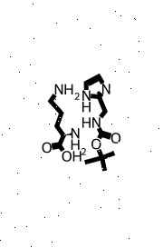 CC(C)(C)OC(=O)NCc1ncc[nH]1.NCCC[C@H](N)C(=O)O